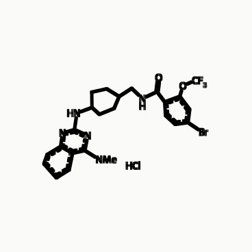 CNc1nc(NC2CCC(CNC(=O)c3ccc(Br)cc3OC(F)(F)F)CC2)nc2ccccc12.Cl